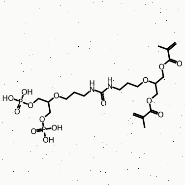 C=C(C)C(=O)OCC(COC(=O)C(=C)C)OCCCNC(=O)NCCCOC(COP(=O)(O)O)COP(=O)(O)O